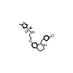 Cn1cc(S(=O)(=O)NCCOc2ccc3c(c2)C(Cc2ccc(Cl)cc2)NCCC3)cn1